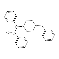 O[C@@H](c1ccccc1)[C@@H](c1ccccc1)N1CCN(Cc2ccccc2)CC1